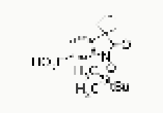 CC(C)(C)[Si](C)(C)ON1C(=O)C2(CCCC2)c2ccc(C(=O)O)cc21